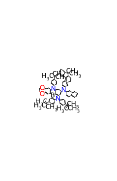 CC(C)(C)c1ccc(N2c3ccc(C(C)(C)C)cc3B3c4cc5c(cc4N(c4ccc(C(C)(C)C)cc4)c4cc(N(c6ccc7ccccc7c6)c6ccc7c8c(ccc7c6)C(C)(C)c6ccccc6-8)cc2c43)OCCO5)cc1